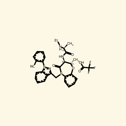 CCN[C@@H](C)C(=O)N[C@@H]1C(=O)N(Cc2nn(-c3ccccc3C#N)c3ccccc23)c2ccccc2O[C@H]1C.O=C(O)C(F)(F)F